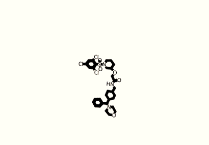 O=C(COC1CCCN(S(=O)(=O)c2c(Cl)cc(Cl)cc2Cl)C1)NCC1CCC(C(c2ccccc2)N2CCOCC2)CC1